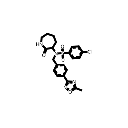 Cc1nc(-c2ccc(CN(C3CCCCNC3=O)S(=O)(=O)c3ccc(Cl)cc3)cc2)no1